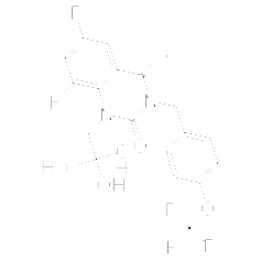 CC(C)(O)Cn1c(=O)n(Cc2ccc(OC(F)(F)F)cc2)c(=O)c2cc(F)cc(F)c21